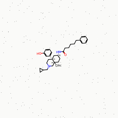 CC(=O)O[C@]12CC[C@@H](NC(=O)CCCCCc3ccccc3)C[C@]1(c1cccc(O)c1)CCN(CC1CC1)C2